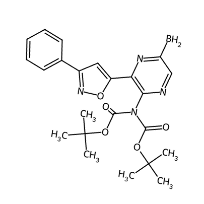 Bc1cnc(N(C(=O)OC(C)(C)C)C(=O)OC(C)(C)C)c(-c2cc(-c3ccccc3)no2)n1